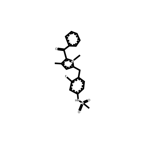 Cc1cc(Cc2ccc(NS(C)(=O)=O)cc2F)n(C)c1C(=O)c1ccccc1